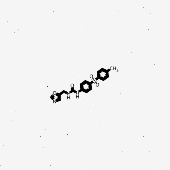 Cc1ccc(S(=O)(=O)c2ccc(NC(=O)NCc3cnco3)cc2)cc1